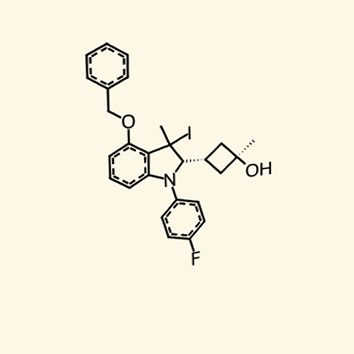 CC1(I)c2c(OCc3ccccc3)cccc2N(c2ccc(F)cc2)C1[C@H]1C[C@](C)(O)C1